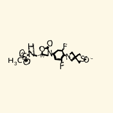 CS(=O)(=O)NC[C@H]1CN(C2=CC(F)=C(N3CC4(C3)C[S+]([O-])C4)C(F)C2)C(=O)O1